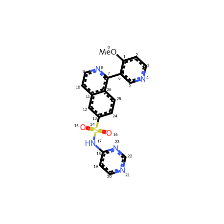 COc1ccncc1-c1nccc2cc(S(=O)(=O)Nc3ccncn3)ccc12